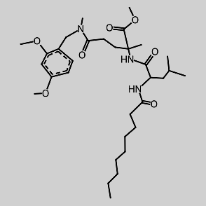 CCCCCCCCC(=O)NC(CC(C)C)C(=O)NC(C)(CCC(=O)N(C)Cc1ccc(OC)cc1OC)C(=O)OC